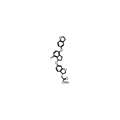 COC(=O)C[C@@H]1COc2cc(O[C@@H]3CCc4c(Oc5ccc6c(c5)CCO6)ccc(F)c43)ccc21